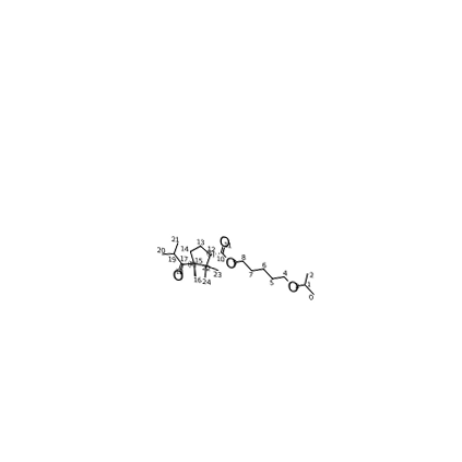 CC(C)OCCCCCOC(=O)[C@H]1CC[C@@](C)(C(=O)C(C)C)C1(C)C